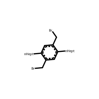 CCCCCCCc1cc(CBr)c(CCCCCCC)cc1CBr